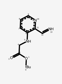 CC(C)(C)OC(=O)CNc1cccnc1C=N